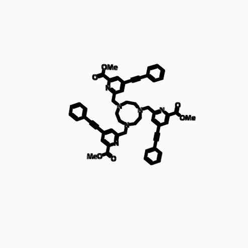 COC(=O)c1cc(C#Cc2ccccc2)cc(CN2CCN(Cc3cc(C#Cc4ccccc4)cc(C(=O)OC)n3)CCN(Cc3cc(C#Cc4ccccc4)cc(C(=O)OC)n3)CC2)n1